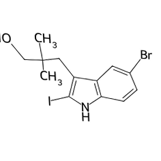 CC(C)(CO)Cc1c(I)[nH]c2ccc(Br)cc12